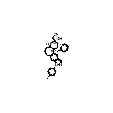 N#CC[C@@]1(O)CC[C@@]2(Cc3ccccn3)c3cc4cnn(-c5ccc(F)cc5)c4cc3CCC[C@H]2C1